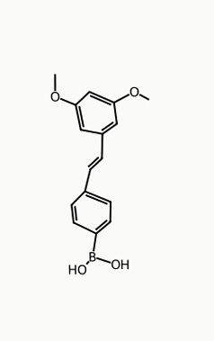 COc1cc(C=Cc2ccc(B(O)O)cc2)cc(OC)c1